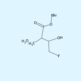 CC(C(=O)OC(C)(C)C)C(O)CF.O